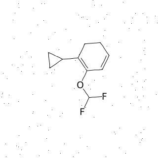 FC(F)OC1=C(C2CC2)CCC=C1